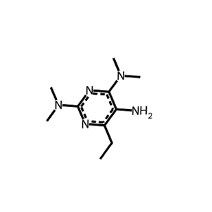 CCc1nc(N(C)C)nc(N(C)C)c1N